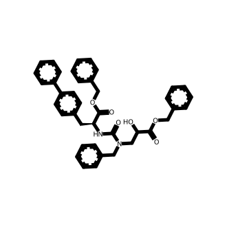 O=C(OCc1ccccc1)C(O)CN(Cc1ccccc1)C(=O)N[C@@H](Cc1ccc(-c2ccccc2)cc1)C(=O)OCc1ccccc1